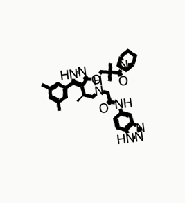 Cc1cc(C)cc(-c2[nH]nc(OCC(C)(C)C(=O)N3C4CCC3CC4)c2[C@H](C)CNCC(=O)Nc2ccc3[nH]nnc3c2)c1